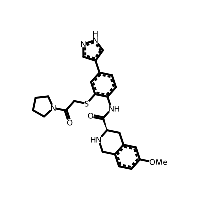 COc1ccc2c(c1)C[C@H](C(=O)Nc1ccc(-c3cn[nH]c3)cc1SCC(=O)N1CCCC1)NC2